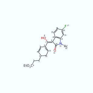 CCOC(=O)CCC1C=CC(/C(O)=C2\C(=O)N(C(C)=O)c3cc(F)ccc32)=CC1